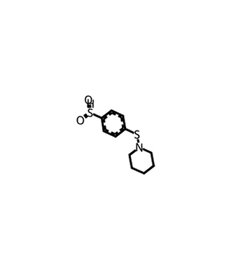 O=[SH](=O)c1ccc(SN2CCCCC2)cc1